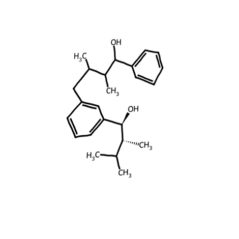 CC(Cc1cccc([C@@H](O)[C@H](C)C(C)C)c1)C(C)C(O)c1ccccc1